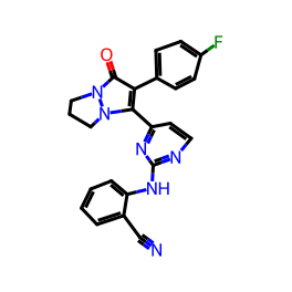 N#Cc1ccccc1Nc1nccc(-c2c(-c3ccc(F)cc3)c(=O)n3n2CCC3)n1